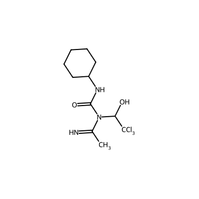 CC(=N)N(C(=O)NC1CCCCC1)C(O)C(Cl)(Cl)Cl